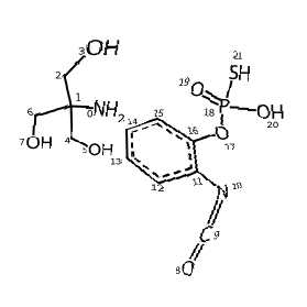 NC(CO)(CO)CO.O=C=Nc1ccccc1OP(=O)(O)S